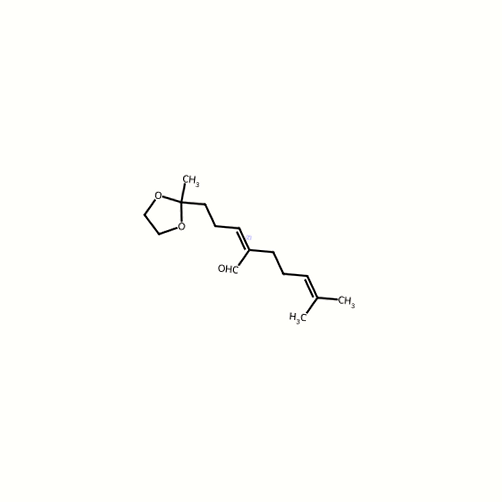 CC(C)=CCC/C(C=O)=C/CCC1(C)OCCO1